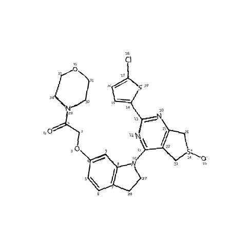 O=C(COc1ccc2c(c1)N(c1nc(-c3ccc(Cl)s3)nc3c1C[S+]([O-])C3)CC2)N1CCOCC1